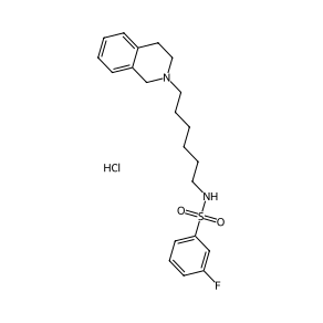 Cl.O=S(=O)(NCCCCCCN1CCc2ccccc2C1)c1cccc(F)c1